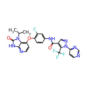 CC(C)n1c(=O)[nH]c2nccc(Oc3ccc(NC(=O)c4cnn(-c5ccncn5)c4C(F)(F)F)cc3F)c21